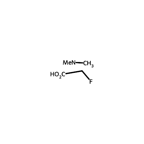 CNC.O=C(O)CF